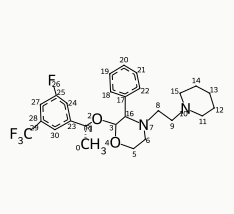 C[C@@H](OC1OCCN(CCN2CCCCC2)C1c1ccccc1)c1cc(F)cc(C(F)(F)F)c1